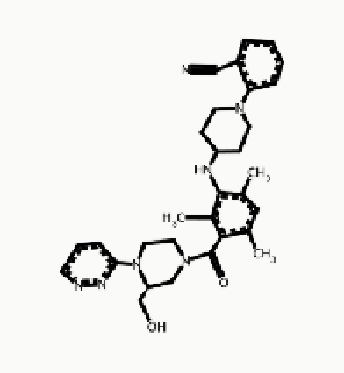 Cc1cc(C)c(C(=O)N2CCN(c3cccnn3)[C@H](CO)C2)c(C)c1NC1CCN(c2ccccc2C#N)CC1